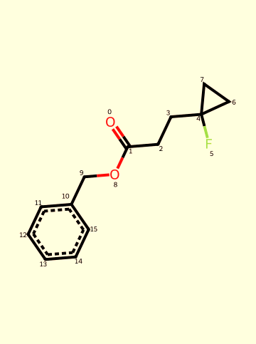 O=C(CCC1(F)CC1)OCc1ccccc1